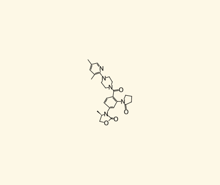 Cc1cnc(N2CCN(C(=O)c3ccc(N4C(=O)OC[C@H]4C)cc3N3CCCC3=O)CC2)c(C)c1